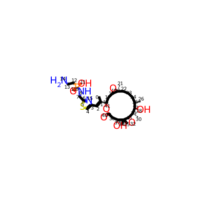 C/C(=C\c1csc(CNP(=O)(O)CCN)n1)[C@H]1CC2O[C@@]2(C)CCC[C@@H](C)[C@@H](O)[C@H](C)C(=O)C(C)(C)[C@H](O)CC(=O)O1